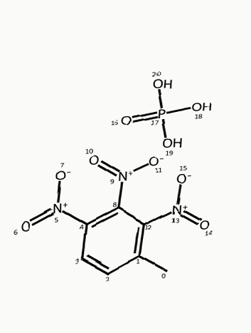 Cc1ccc([N+](=O)[O-])c([N+](=O)[O-])c1[N+](=O)[O-].O=P(O)(O)O